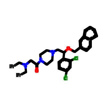 CC(C)CN(CC(=O)N1CCN(CC(OCc2ccc3ccccc3c2)c2ccc(Cl)cc2Cl)CC1)CC(C)C